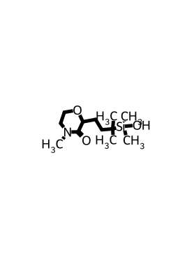 CN1CCOC(CCC(C)(C)[Si](C)(C)O)C1=O